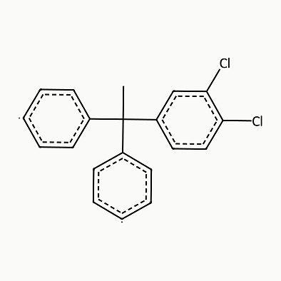 CC(c1cc[c]cc1)(c1cc[c]cc1)c1ccc(Cl)c(Cl)c1